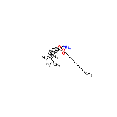 CCCCCCCCCCCCCCCCCC(=O)OCC(CN)O[C@H]1CC[C@@]2(C)C(=CC[C@H]3[C@@H]4CC[C@H]([C@H](C)CCCC(C)C)[C@@]4(C)CC[C@@H]32)C1